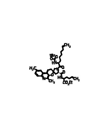 C=CCCCCC[C@H](NC(=O)OC(C)(C)C)C(=O)N1C[C@@]2(CCc3c(c(C)nc4ccc(C)cc34)O2)C[C@H]1C(=O)NC(CCC=C)C(=O)OCC